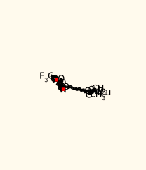 CC(CC(C)(C)C)C(C)(C)C(=O)OCCCCCCCCCOc1nccc2cc(-c3ccc(C(F)(F)F)cc3)c(=O)oc12